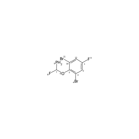 Fc1cc(Br)c(OC(F)P)c(Br)c1